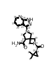 CC1(C)C[C@@H]1C(=O)N1CC2(C1)CN(c1n[nH]c3ncccc13)CC2C(N)=O